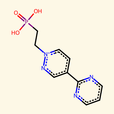 O=P(O)(O)CC[n+]1ccc(-c2ncccn2)cn1